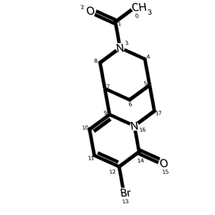 CC(=O)N1CC2CC(C1)c1ccc(Br)c(=O)n1C2